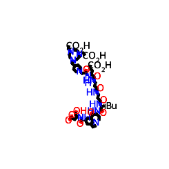 CCC(C)C(NC(=O)CCNC(=O)CCNC(=O)C(CCC(=O)O)NC(=O)CN1CCC(CN2CCN(CC(=O)O)CCN(CC(=O)O)CC2)CC1)C(=O)N[C@H]1CCn2ccc3c2C(=C[C@@H](C(=O)NC2CC(=O)OC2O)C3)C1=O